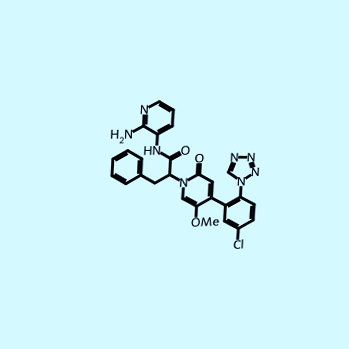 COc1cn(C(Cc2ccccc2)C(=O)Nc2cccnc2N)c(=O)cc1-c1cc(Cl)ccc1-n1cnnn1